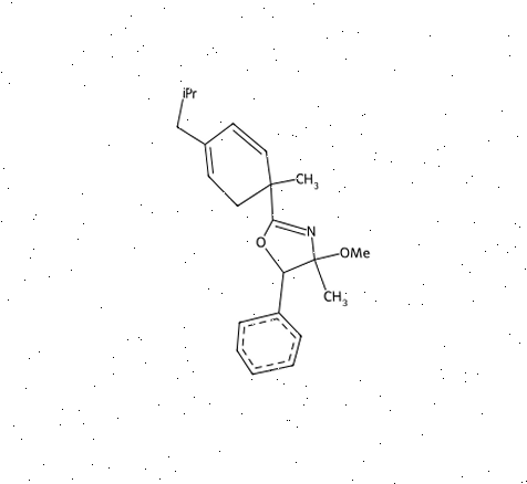 COC1(C)N=C(C2(C)C=CC(CC(C)C)=CC2)OC1c1ccccc1